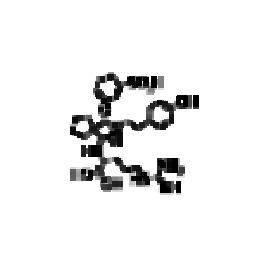 N=C(N)NCCCC(NC(=O)C1(C(=O)NCCc2ccc(O)cc2)CCCC1)B(O)O.O=S(=O)(O)c1ccccc1